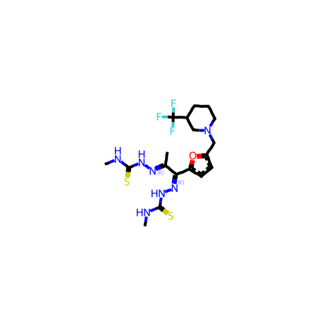 CNC(=S)N/N=C(C)/C(=N\NC(=S)NC)c1ccc(CN2CCCC(C(F)(F)F)C2)o1